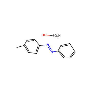 Cc1ccc(N=Nc2ccccc2)cc1.O=S(=O)(O)O